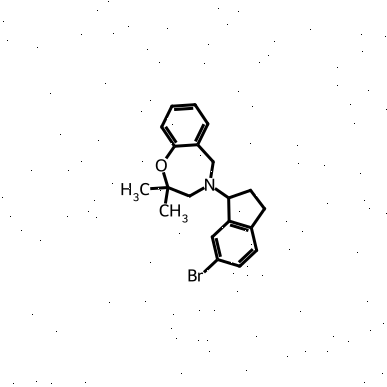 CC1(C)CN(C2CCc3ccc(Br)cc32)Cc2ccccc2O1